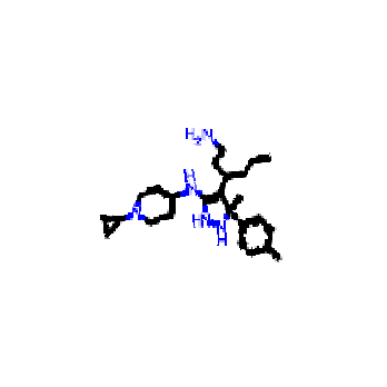 C=C/C=C(\CCN)C1=C(NC2CCN(C3CC3)CC2)NNC1(C)c1ccc(C)cc1